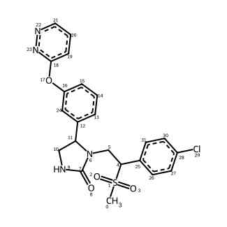 CS(=O)(=O)C(CN1C(=O)NCC1c1cccc(Oc2cccnn2)c1)c1ccc(Cl)cc1